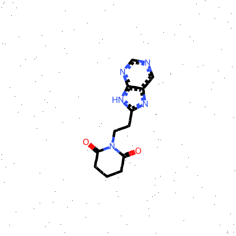 O=C1CCCC(=O)N1CCc1nc2cncnc2[nH]1